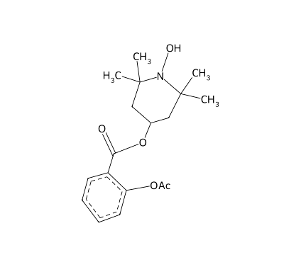 CC(=O)Oc1ccccc1C(=O)OC1CC(C)(C)N(O)C(C)(C)C1